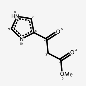 COC(=O)CC(=O)c1c[nH]cn1